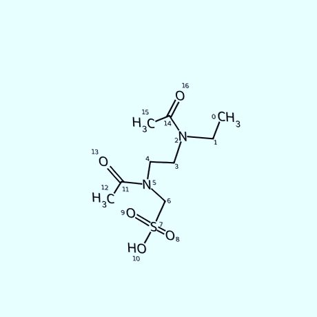 CCN(CCN(CS(=O)(=O)O)C(C)=O)C(C)=O